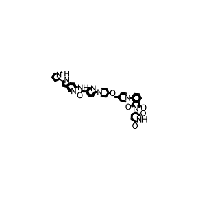 CN1CCC[C@@H]1c1cc2cnc(NC(=O)c3ccc(N4CCC(OCC5CCN(c6cccc7c6C(=O)N(C6CCC(=O)NC6=O)C7=O)CC5)CC4)nc3)cc2[nH]1